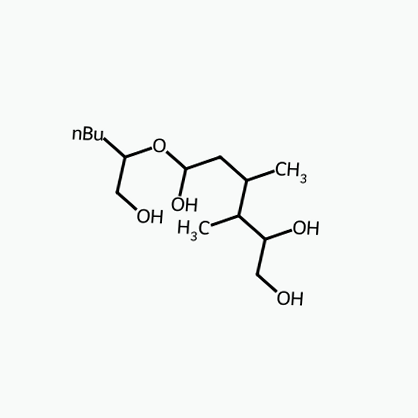 CCCCC(CO)OC(O)CC(C)C(C)C(O)CO